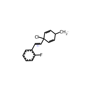 [CH2]C1C=CC(Cl)(/C=C/c2ccccc2F)C=C1